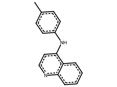 Cc1ccc(Nc2ccnc3ccccc23)cc1